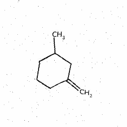 C=C1C[CH]CC(C)C1